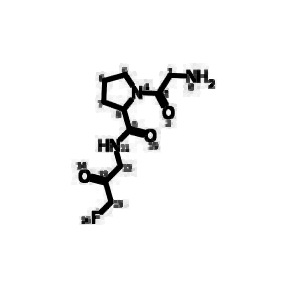 NCC(=O)N1CCCC1C(=O)NCC(=O)CF